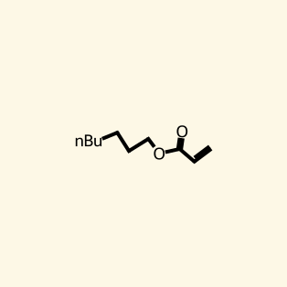 C=CC(=O)OCCCCCCC